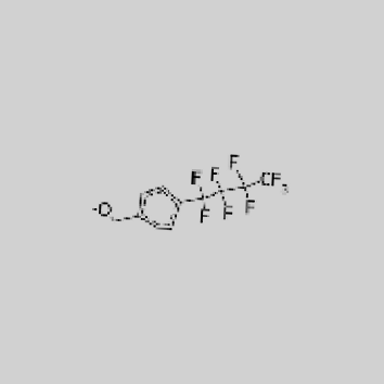 [O]Cc1ccc(C(F)(F)C(F)(F)C(F)(F)C(F)(F)F)cc1